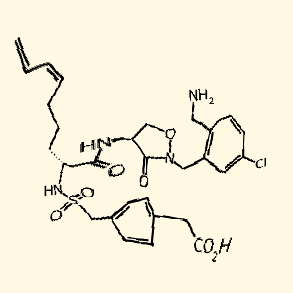 C=C/C=C\CCC[C@@H](NS(=O)(=O)Cc1ccc(CC(=O)O)cc1)C(=O)N[C@H]1CON(Cc2cc(Cl)ccc2CN)C1=O